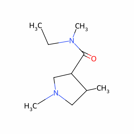 CCN(C)C(=O)C1CN(C)CC1C